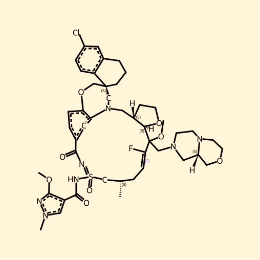 COc1nn(C)cc1C(=O)NS1(=O)=NC(=O)c2ccc3c(c2)N(C[C@@H]2CCO[C@H]2C(CN2CCN4CCOC[C@@H]4C2)(OC)/C(F)=C/C[C@H](C)C1)C[C@@]1(CCCc2cc(Cl)ccc21)CO3